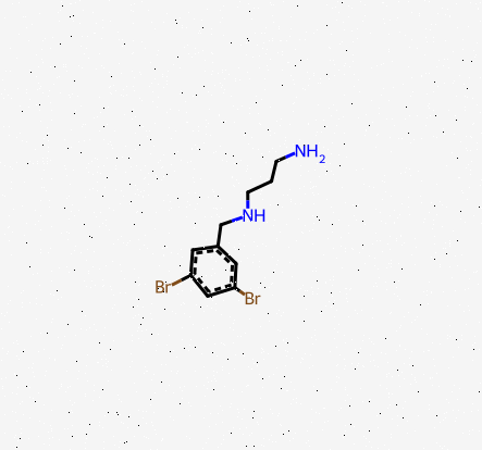 NCCCNCc1cc(Br)cc(Br)c1